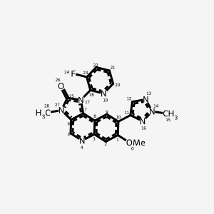 COc1cc2ncc3c(c2cc1-c1cnn(C)n1)n(-c1ncccc1F)c(=O)n3C